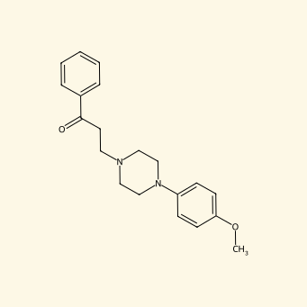 COc1ccc(N2CCN(CCC(=O)c3ccccc3)CC2)cc1